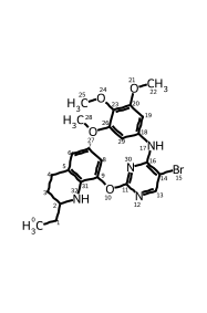 CCC1CCc2cccc(Oc3ncc(Br)c(Nc4cc(OC)c(OC)c(OC)c4)n3)c2N1